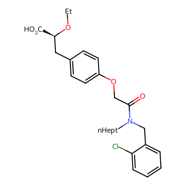 CCCCCCCN(Cc1ccccc1Cl)C(=O)COc1ccc(C[C@H](OCC)C(=O)O)cc1